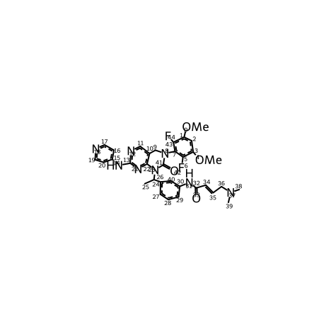 COc1cc(OC)c(F)c(N2Cc3cnc(Nc4ccncc4)nc3N(C(C)c3cccc(NC(=O)/C=C/CN(C)C)c3)C2=O)c1F